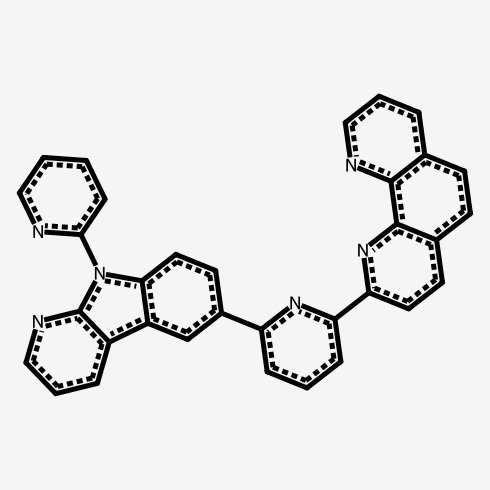 c1ccc(-n2c3ccc(-c4cccc(-c5ccc6ccc7cccnc7c6n5)n4)cc3c3cccnc32)nc1